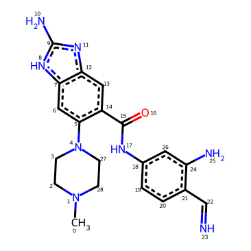 CN1CCN(c2cc3[nH]c(N)nc3cc2C(=O)Nc2ccc(C=N)c(N)c2)CC1